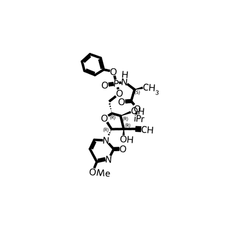 C#C[C@@]1(O)[C@H](O)[C@@H](COP(=O)(N[C@@H](C)C(=O)OC(C)C)Oc2ccccc2)O[C@H]1n1ccc(OC)nc1=O